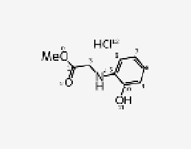 COC(=O)CNc1ccccc1O.Cl